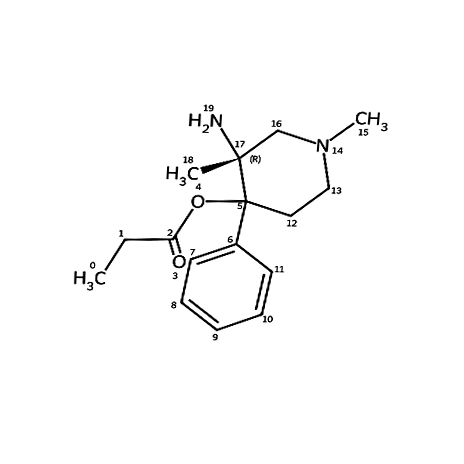 CCC(=O)OC1(c2ccccc2)CCN(C)C[C@@]1(C)N